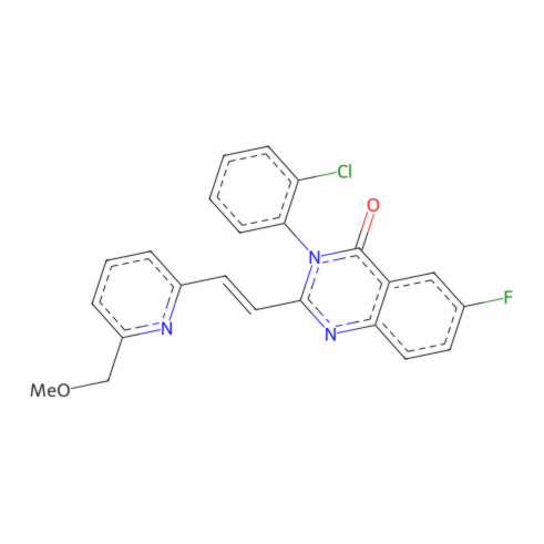 COCc1cccc(C=Cc2nc3ccc(F)cc3c(=O)n2-c2ccccc2Cl)n1